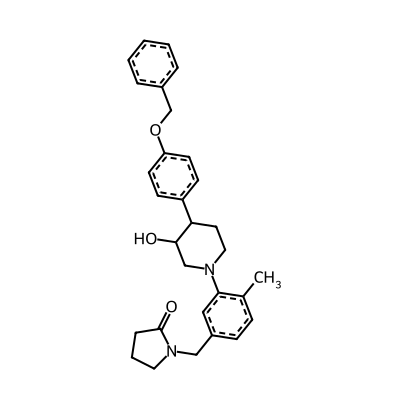 Cc1ccc(CN2CCCC2=O)cc1N1CCC(c2ccc(OCc3ccccc3)cc2)C(O)C1